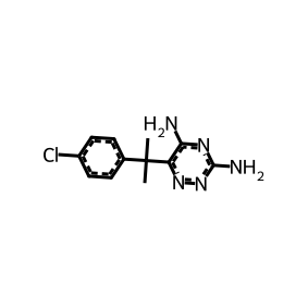 CC(C)(c1ccc(Cl)cc1)c1nnc(N)nc1N